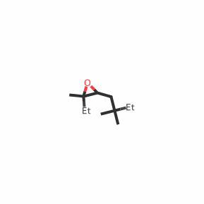 CCC(C)(C)CC1OC1(C)CC